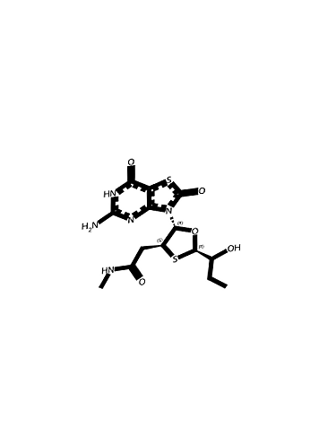 CCC(O)[C@@H]1O[C@@H](n2c(=O)sc3c(=O)[nH]c(N)nc32)[C@H](CC(=O)NC)S1